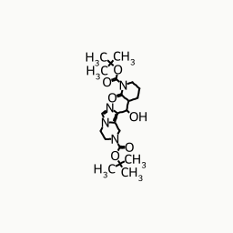 CC(C)(C)OC(=O)N1CCn2cnc(C(O)C3CCCN(C(=O)OC(C)(C)C)C3=O)c2C1